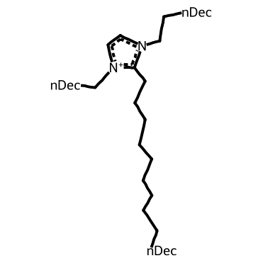 CCCCCCCCCCCCCCCCCCCc1n(CCCCCCCCCCCC)cc[n+]1CCCCCCCCCCC